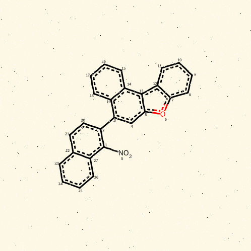 O=[N+]([O-])c1c(-c2cc3oc4ccccc4c3c3ccccc23)ccc2ccccc12